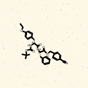 CCOc1ccc(C[C@@H](NC(=O)OC(C)(C)C)C(=O)N[C@@H](Cc2ccccc2)C(=O)NCc2ccc(C#N)cc2)cc1